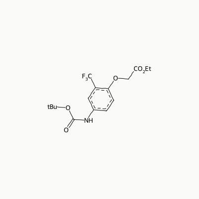 CCOC(=O)COc1ccc(NC(=O)OC(C)(C)C)cc1C(F)(F)F